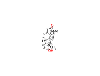 CSC[C@]12CCC(=O)C=C1CC[C@@H]1[C@@H]2CC[C@]2(C)[C@@H](O)CC[C@@H]12